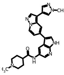 CN1CCC(C(=O)Nc2cnc3[nH]cc(-c4ccn5ncc(-c6cnn(C)c6)c5c4)c3c2)CC1